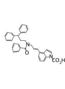 O=C(c1ccccc1)N(CC=Cc1cccc2c1ccn2C(=O)O)CCC(c1ccccc1)c1ccccc1